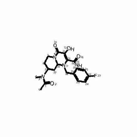 CC(=O)N(C)C1CCN2C(=O)C(O)=C(C(N)=O)N(Cc3ccc(F)cc3)C2C1